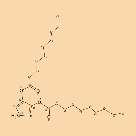 CCCCCCCCCC(=O)OC1=C[SeH2]C=C1OC(=O)CCCCCCCCC